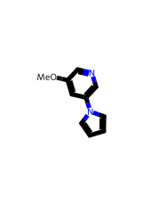 COc1cncc(-n2cccc2)c1